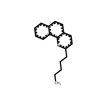 CCCCCc1ccc2ccc3ccccc3c2n1